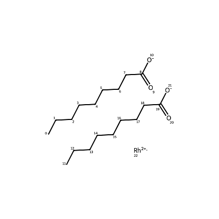 CCCCCCCCC(=O)[O-].CCCCCCCCC(=O)[O-].[Rh+2]